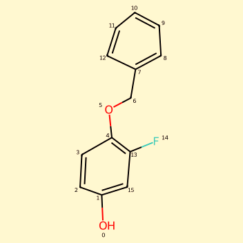 Oc1ccc(OCc2ccccc2)c(F)c1